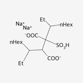 CCCCCCC(CC)C(C(=O)[O-])C(C(=O)[O-])(C(CC)CCCCCC)S(=O)(=O)O.[Na+].[Na+]